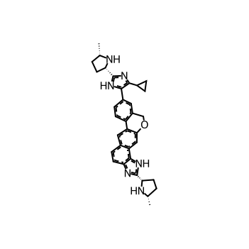 C[C@H]1CC[C@@H](c2nc(C3CC3)c(-c3ccc4c(c3)COc3cc5c(ccc6nc([C@@H]7CC[C@H](C)N7)[nH]c65)cc3-4)[nH]2)N1